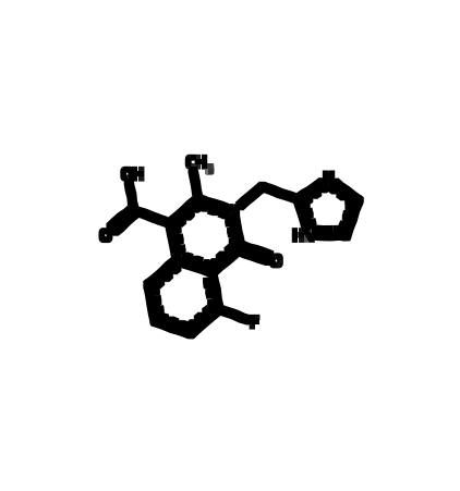 Cc1c(C(=O)O)c2cccc(F)c2c(=O)n1Cc1ncc[nH]1